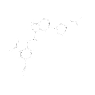 CC(=O)Nc1cccc(-c2ccc3noc(C(=O)Nc4ccc(C#N)cc4C(=O)O)c3c2)c1